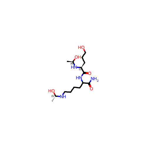 C[C@H](O)NCCCCC(NC(=O)[C@H](CCCO)N[C@@H](C)O)C(N)=O